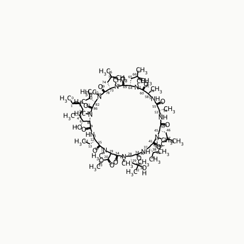 C/C=C/C[C@@H](C)[C@@H](O)[C@H]1C(=O)N[C@@H](CC)C(=O)N(C)C(C(=O)OC)C(=O)N(C)[C@@H](CC(C)(C)O)C(=O)N[C@@H](C(C)C)C(=O)N(C)[C@@H](CC(C)C)C(=O)N[C@@H](C)C(=O)N[C@H](C)C(=O)N(C)[C@@H](CC(C)C)C(=O)N(C)[C@@H](CC(C)C)C(=O)N(C)[C@@H](C(C)C)C(=O)N1C